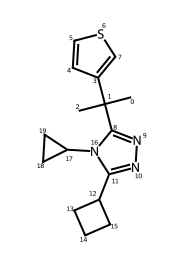 CC(C)(c1ccsc1)c1nnc(C2CCC2)n1C1CC1